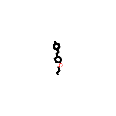 CCCCOC1CCC(C=Cc2ccc(C)cc2)CC1